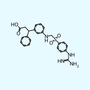 N=C(N)Nc1ccc(S(=O)(=O)CNc2cccc(C(CC(=O)O)c3ccccc3)c2)cc1